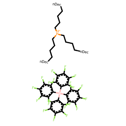 CCCCCCCCCCCCCC[PH+](CCCCCCCCCCCCCC)CCCCCCCCCCCCCC.Fc1c(F)c(F)c([B-](c2c(F)c(F)c(F)c(F)c2F)(c2c(F)c(F)c(F)c(F)c2F)c2c(F)c(F)c(F)c(F)c2F)c(F)c1F